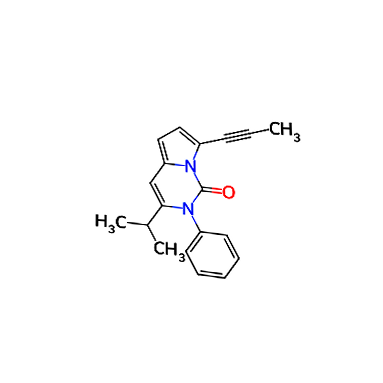 CC#Cc1ccc2cc(C(C)C)n(-c3ccccc3)c(=O)n12